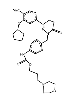 COc1ccc(C2=NN(Cc3ccc(NC(=O)OCCCN4CCOCC4)cc3)C(=O)SC2)cc1OC1CCCC1